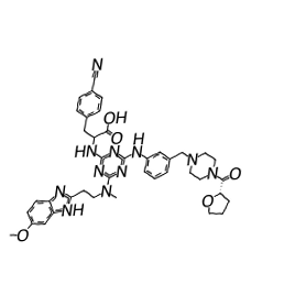 COc1ccc2nc(CCN(C)c3nc(Nc4cccc(CN5CCN(C(=O)[C@@H]6CCCO6)CC5)c4)nc(NC(Cc4ccc(C#N)cc4)C(=O)O)n3)[nH]c2c1